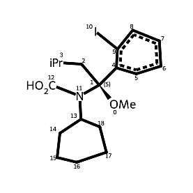 CO[C@@](CC(C)C)(c1ccccc1I)N(C(=O)O)C1CCCCC1